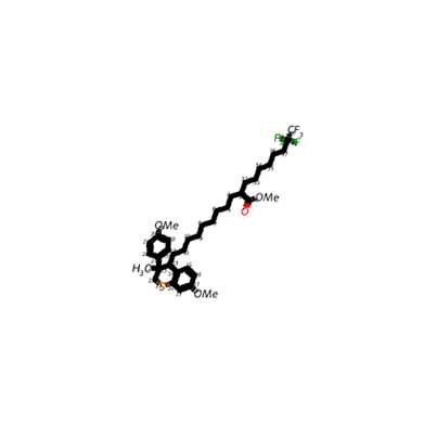 COC(=O)C(CCCCCCCCCC1c2ccc(OC)cc2SCC1(C)c1ccc(OC)cc1)CCCCCCC(F)(F)C(F)(F)F